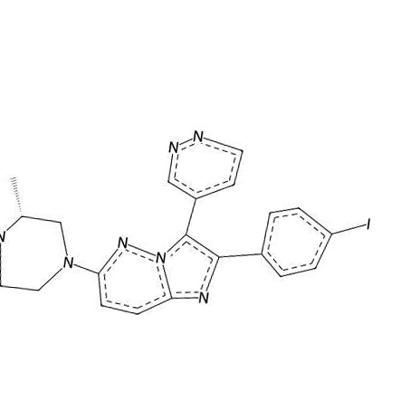 C[C@@H]1CN(c2ccc3nc(-c4ccc(I)cc4)c(-c4ccnnc4)n3n2)CCN1